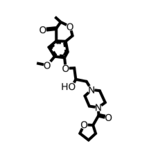 COc1cc2c(cc1OCC(O)CN1CCN(C(=O)C3CCCO3)CC1)COC(C)C2=O